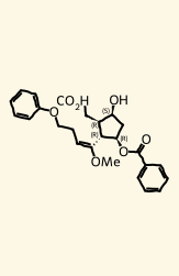 COC(=CCCOc1ccccc1)[C@@H]1[C@@H](CC(=O)O)[C@@H](O)C[C@H]1OC(=O)c1ccccc1